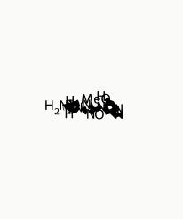 COc1cc2nn(C)cc2cc1NC(=O)c1cnc(N2C[C@@H]3[C@H](N)[C@@H]3C2)cn1